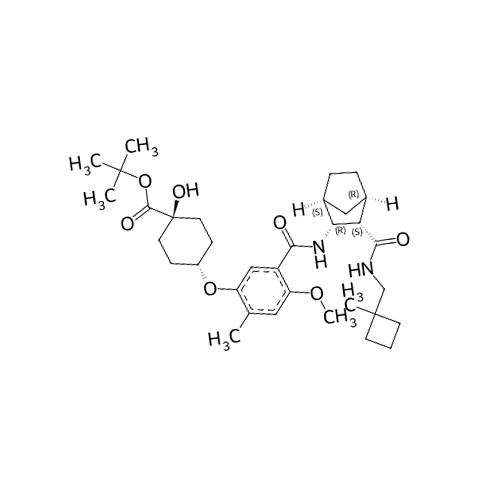 COc1cc(C)c(O[C@H]2CC[C@@](O)(C(=O)OC(C)(C)C)CC2)cc1C(=O)N[C@@H]1[C@H]2CC[C@H](C2)[C@@H]1C(=O)NCC1(C)CCC1